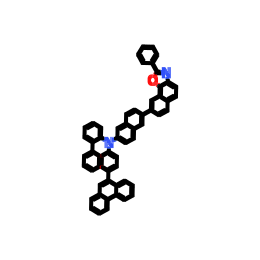 c1ccc(-c2nc3ccc4ccc(-c5ccc6cc(N(c7ccc(-c8cc9ccccc9c9ccccc89)cc7)c7ccccc7-c7ccccc7)ccc6c5)cc4c3o2)cc1